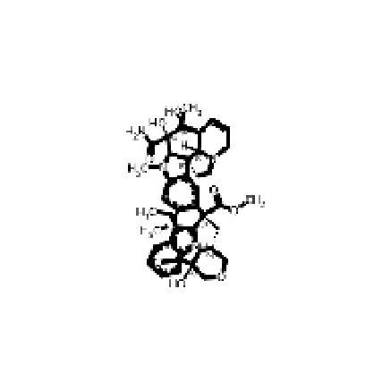 CCc1c([C@@](C[C@@H]2COC[C@](O)(CO)C2)(C(=O)OC)c2cc3c(cc2OC)N(C)C2[C@]34CCN3CC=CC(CC)([C@@H](O)[C@]2(O)C(N)=O)[C@H]34)[nH]c2ccccc12